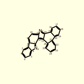 c1ccc2c(c1)N=c1c-2ccc2c1=c1c(c3ccccc3c3ccccc13)=N2